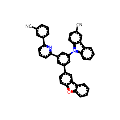 N#Cc1cccc(-c2cccc(-c3cc(-c4ccc5oc6ccccc6c5c4)cc(-n4c5ccccc5c5cc(C#N)ccc54)c3)n2)c1